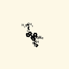 COc1cccc(OC)c1C12CC3CC(NC(=O)n4cccn4)(C1)C(C(=O)O)C(c1ccc(OCCCN(C)C)c4ccccc14)(C3)C2